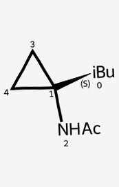 CC[C@H](C)C1(NC(C)=O)CC1